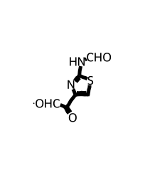 O=[C]C(=O)c1csc(NC=O)n1